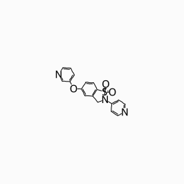 O=S1(=O)c2ccc(Oc3cccnc3)cc2CN1c1ccncc1